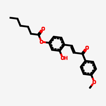 CCCCCC(=O)Oc1ccc(/C=C/C(=O)c2ccc(OC)cc2)c(O)c1